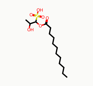 CCCCCCCCCCCC(=O)OC(C(C)O)S(=O)(=O)O